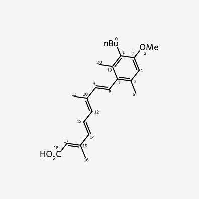 CCCCc1c(OC)cc(C)c(C=CC(C)=CC=CC(C)=CC(=O)O)c1C